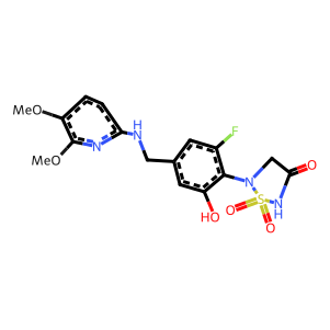 COc1ccc(NCc2cc(O)c(N3CC(=O)NS3(=O)=O)c(F)c2)nc1OC